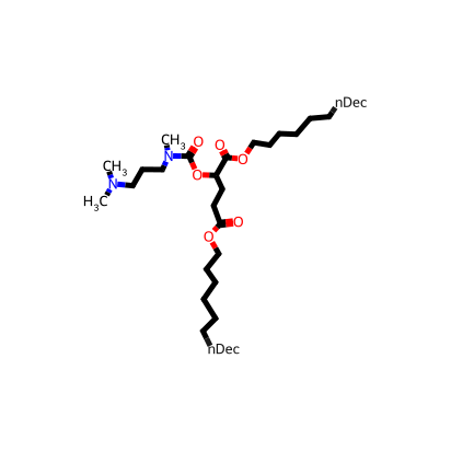 CCCCCCCCCCCCCCCCOC(=O)CCC(OC(=O)N(C)CCCN(C)C)C(=O)OCCCCCCCCCCCCCCCC